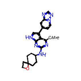 COc1nc(NC2CCC3(CCO3)CC2)nc2[nH]cc(-c3ccn4ncnc4c3)c12